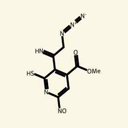 COC(=O)c1cc(N=O)nc(S)c1C(=N)CN=[N+]=[N-]